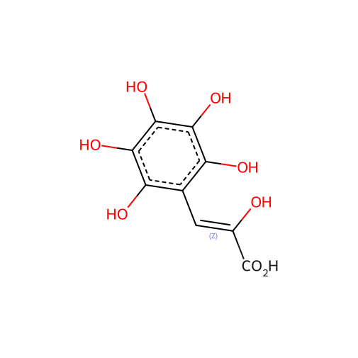 O=C(O)/C(O)=C/c1c(O)c(O)c(O)c(O)c1O